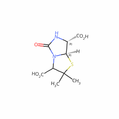 CC1(C)S[C@@H]2[C@@H](C(=O)O)NC(=O)N2C1C(=O)O